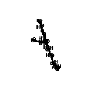 CC(C)(C)OC(=O)CCCCCNC(=O)CCC(=O)NC(CCCCNC(=O)CCCCCNC(=O)CCCCCNC(=O)c1ccc(NNC(=O)OC(C)(C)C)nc1)C(=O)NCCCOCCOCCOCCCNC(=O)CCCN=[N+]=[N-]